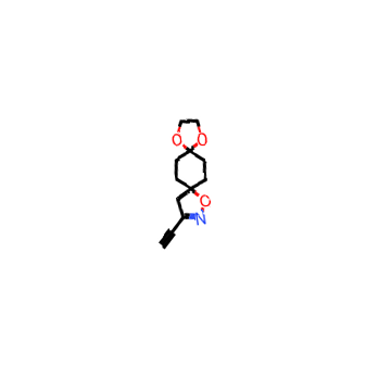 C#CC1=NOC2(CCC3(CC2)OCCO3)C1